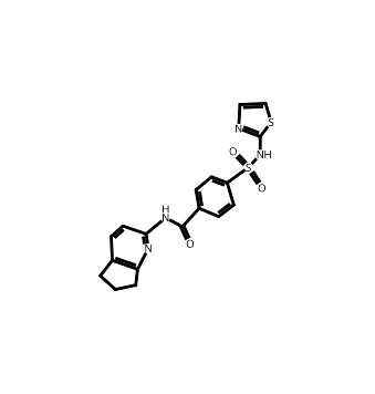 O=C(Nc1ccc2c(n1)CCC2)c1ccc(S(=O)(=O)Nc2nccs2)cc1